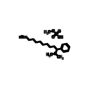 CCCCCCCCCCCCCCCCCCC(c1ccccc1)N(C)C.COS(=O)(=O)O